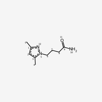 Cc1cc(C)n(C[CH]CC(N)=O)n1